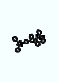 c1ccc(-c2cc(-c3ccccc3)nc(-c3ccc(-c4cc5c6ccccc6n(-c6nc7ccccc7c7nc8ccccc8n67)c5c5ccccc45)cc3)n2)cc1